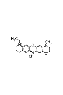 CC[N+]1=c2cc3c(cc2CCC1)=Nc1cc2c(cc1O3)N(C)CCO2.[Cl-]